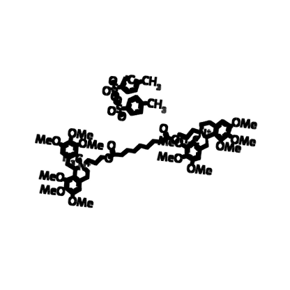 COc1cc(CC2c3c(cc(OC)c(OC)c3OC)CC[N+]2(C)CCCOC(=O)CCCCCCCC(=O)OCCC[N@+]2(C)CCc3cc(OC)c(OC)c(OC)c3[C@H]2Cc2cc(OC)c(OC)c(OC)c2)cc(OC)c1OC.Cc1ccc(S(=O)(=O)[O-])cc1.Cc1ccc(S(=O)(=O)[O-])cc1